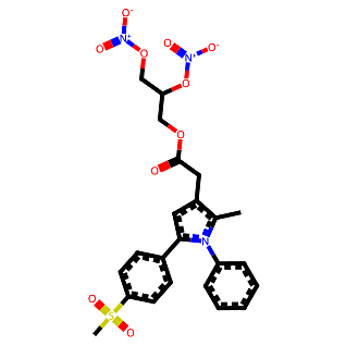 Cc1c(CC(=O)OCC(CO[N+](=O)[O-])O[N+](=O)[O-])cc(-c2ccc(S(C)(=O)=O)cc2)n1-c1ccccc1